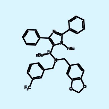 CCCC[C@@H](c1c(-c2ccccc2)nc(-c2ccccc2)n1CCCC)N(Cc1cccc(C(F)(F)F)c1)Cc1ccc2c(c1)OCO2